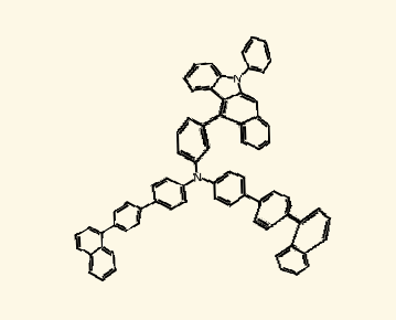 c1ccc(-n2c3ccccc3c3c(-c4cccc(N(c5ccc(-c6ccc(-c7cccc8ccccc78)cc6)cc5)c5ccc(-c6ccc(-c7cccc8ccccc78)cc6)cc5)c4)c4ccccc4cc32)cc1